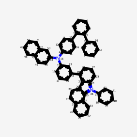 c1ccc(-c2ccccc2-c2ccc(N(c3cccc(-c4cccc5c4c4ccc6ccccc6c4n5-c4ccccc4)c3)c3ccc4ccccc4c3)cc2)cc1